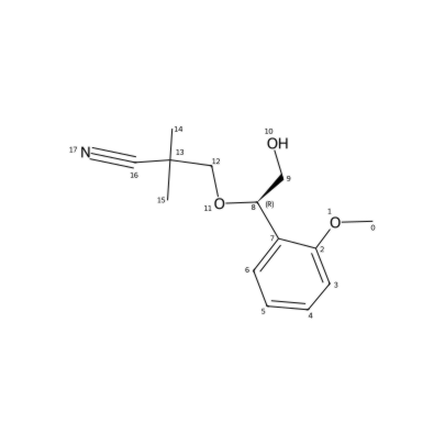 COc1ccccc1[C@H](CO)OCC(C)(C)C#N